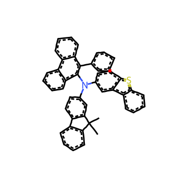 CC1(C)c2ccccc2-c2ccc(N(c3ccc4sc5ccccc5c4c3)c3c(-c4ccccc4)c4ccccc4c4ccccc34)cc21